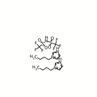 CCCC[n+]1cc[nH]c1.CCCC[n+]1cc[nH]c1.O=S(=O)(NS(=O)(=O)C(F)(F)F)C(F)(F)F